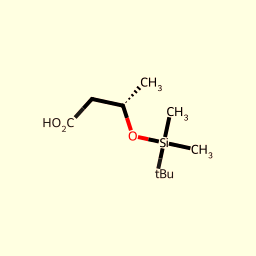 C[C@@H](CC(=O)O)O[Si](C)(C)C(C)(C)C